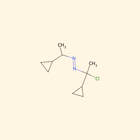 CC(/N=N/C(C)(Cl)C1CC1)C1CC1